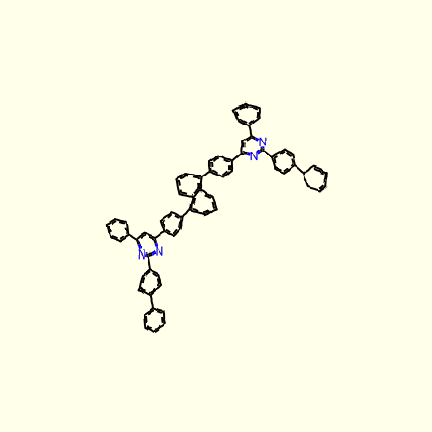 C1=CCC(c2ccc(-c3nc(-c4ccccc4)cc(-c4ccc(-c5cccc6c(-c7ccc(-c8cc(-c9ccccc9)nc(-c9ccc(-c%10ccccc%10)cc9)n8)cc7)cccc56)cc4)n3)cc2)C=C1